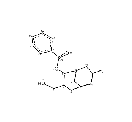 CC1CC2CC(CO)C(OC(=O)c3ccccc3)C(C1)C2